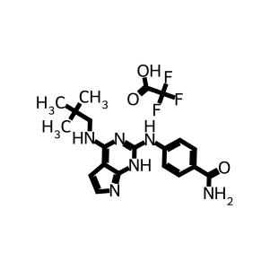 CC(C)(C)CNc1nc(Nc2ccc(C(N)=O)cc2)[nH]c2nccc1-2.O=C(O)C(F)(F)F